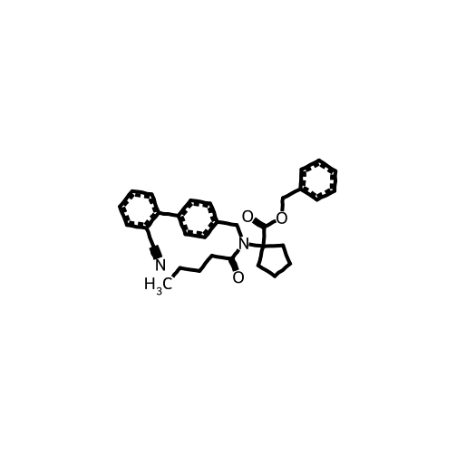 CCCCC(=O)N(Cc1ccc(-c2ccccc2C#N)cc1)C1(C(=O)OCc2ccccc2)CCCC1